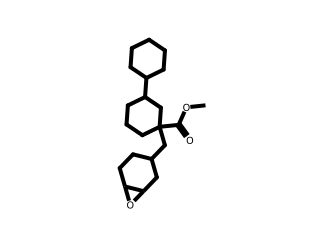 COC(=O)C1(CC2CCC3OC3C2)CCCC(C2CCCCC2)C1